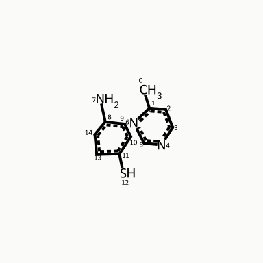 Cc1ccncn1.Nc1ccc(S)cc1